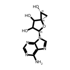 Nc1ncnc2c1ncn2[C@@H]1O[C@@]2(C[C@H]2O)C(O)C1O